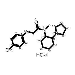 CN(C(=O)CSc1ccc(Cl)cc1)C1CCCCC1N1CCCC1.Cl